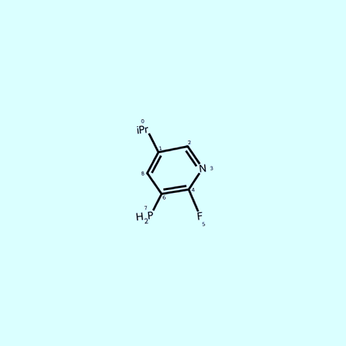 CC(C)c1cnc(F)c(P)c1